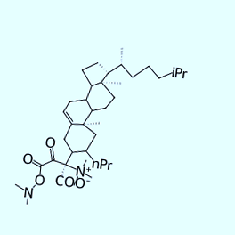 CCCC1C[C@@]2(C)C(=CCC3C2CC[C@@]2(C)C3CC[C@@H]2[C@H](C)CCCC(C)C)CC1[C@](C(=O)[O-])(C(=O)C(=O)ON(C)C)[N+](C)(C)C